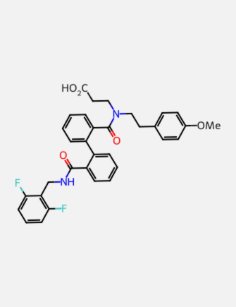 COc1ccc(CCN(CCC(=O)O)C(=O)c2ccccc2-c2ccccc2C(=O)NCc2c(F)cccc2F)cc1